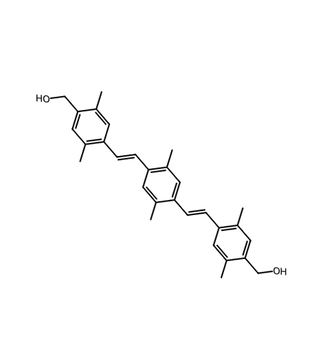 Cc1cc(/C=C/c2cc(C)c(CO)cc2C)c(C)cc1/C=C/c1cc(C)c(CO)cc1C